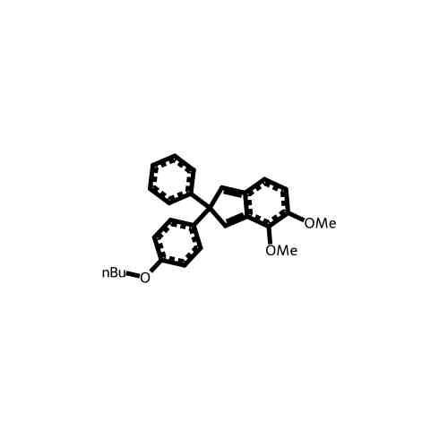 CCCCOc1ccc(C2(c3ccccc3)C=c3ccc(OC)c(OC)c3=C2)cc1